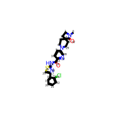 CN1CCC2(CCN(c3ccc(C(=O)Nc4nc(-c5ccccc5Cl)cs4)nc3)CC2)C1=O